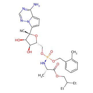 CCC(CC)COC(=O)[C@H](C)N[P@@](=O)(OCc1ccccc1C)OC[C@H]1O[C@@](C#N)(c2ccc3c(N)ncnn23)[C@H](O)[C@@H]1O